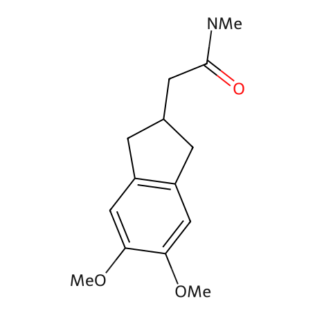 CNC(=O)CC1Cc2cc(OC)c(OC)cc2C1